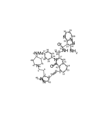 CNC1CCN(CCc2c(C#Cc3cccc4cc([C@@H](C)NC(=O)c5c(N)nn6cccnc56)n(-c5ccccc5)c(=O)c34)cnn2C)CC1